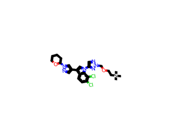 C[Si](C)(C)CCOCn1ncc(-n2cc(-c3cnn(C4CCCCO4)c3)c3ccc(Cl)c(Cl)c32)n1